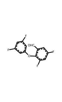 O=Cc1cc(F)cc(F)c1Oc1cc(F)cc(F)c1